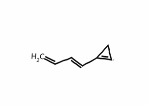 C=CC=CC1=[C]C1